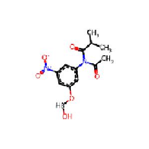 CC(=O)N(C(=O)C(C)C)c1cc(OBO)cc([N+](=O)[O-])c1